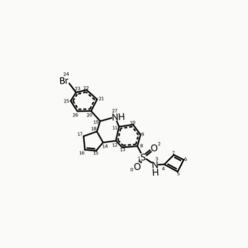 O=S(=O)(NC1=CC=C1)c1ccc2c(c1)C1C=CCC1C(c1ccc(Br)cc1)N2